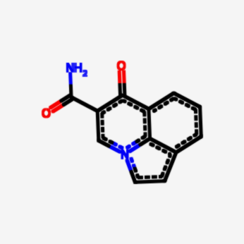 NC(=O)c1cn2ccc3cccc(c1=O)c32